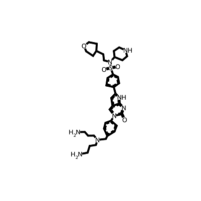 NCCCN(CCCN)Cc1ccc(-n2cc3cc(-c4ccc(S(=O)(=O)N(CCC5CCOCC5)C5CCNCC5)cc4)[nH]c3nc2=O)cc1